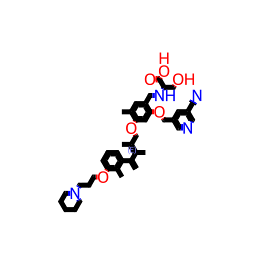 C=C(/C(C)=C(\C)COc1cc(OCc2cncc(C#N)c2)c(CNC(CO)C(=O)O)cc1C)c1cccc(OCCCN2CCCCC2)c1C